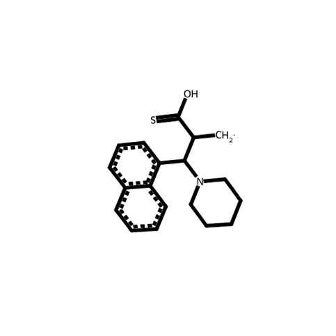 [CH2]C(C(O)=S)C(c1cccc2ccccc12)N1CCCCC1